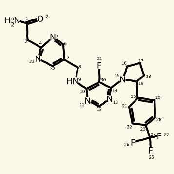 NC(=O)Cc1ncc(CNc2ncnc(N3CCCC3c3ccc(C(F)(F)F)cc3)c2F)cn1